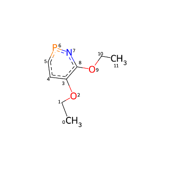 CCOc1ccpnc1OCC